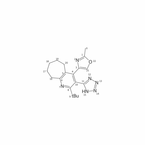 Cc1nc(-c2c3c(nc(C(C)(C)C)c2-c2nnn[nH]2)CCCCC3)co1